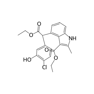 CCOC(=O)c1c(C)[nH]c2cccc(C(C(=O)OCC)c3ccc(Cl)c(O)c3)c12